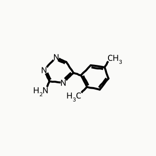 Cc1ccc(C)c(-c2cnnc(N)n2)c1